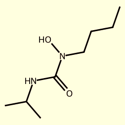 CCCCN(O)C(=O)NC(C)C